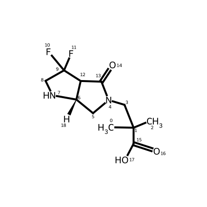 CC(C)(CN1C[C@@H]2NCC(F)(F)C2C1=O)C(=O)O